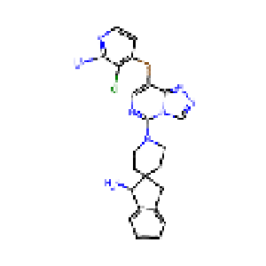 Nc1nccc(Sc2cnc(N3CCC4(CC3)Cc3ccccc3[C@H]4N)n3cnnc23)c1Cl